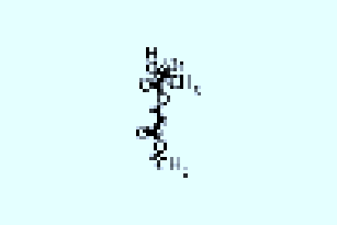 C=COC(=O)CCOC(=O)C(C)(C)Br